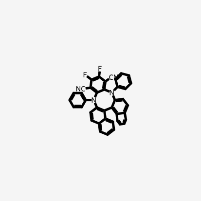 N#Cc1c(F)c(F)c(C#N)c2c1n(-c1ccccc1)c1ccc3ccccc3c1c1c3ccccc3ccc1n2-c1ccccc1